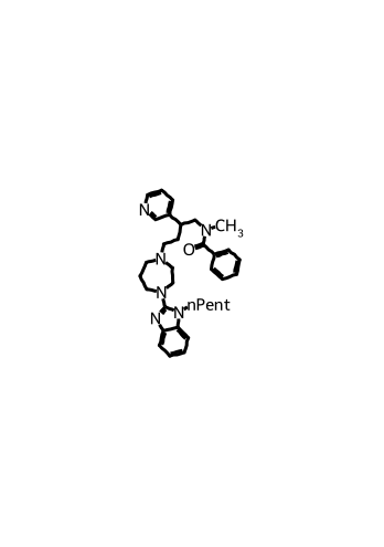 CCCCCn1c(N2CCCN(CCC(CN(C)C(=O)c3ccccc3)c3cccnc3)CC2)nc2ccccc21